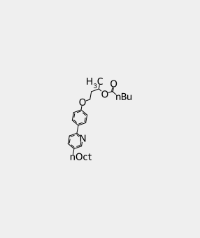 CCCCCCCCc1ccc(-c2ccc(OCCC(C)OC(=O)CCCC)cc2)nc1